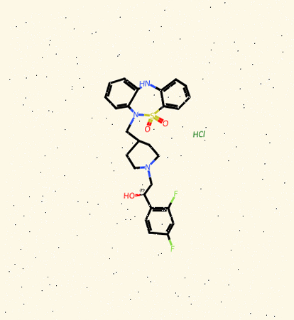 Cl.O=S1(=O)c2ccccc2Nc2ccccc2N1CC1CCN(C[C@H](O)c2ccc(F)cc2F)CC1